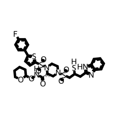 O=C(NOC1CCCCO1)[C@H]1CN(S(=O)(=O)CC(S)Cc2nc3ccccc3[nH]2)CCN1S(=O)(=O)c1ccc(-c2ccc(F)cc2)s1